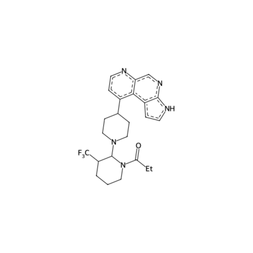 CCC(=O)N1CCCC(C(F)(F)F)C1N1CCC(c2ccnc3cnc4[nH]ccc4c23)CC1